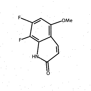 COc1cc(F)c(F)c2[nH]c(=O)ccc12